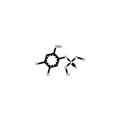 CCOP(=S)(OCC)Oc1cc(Cl)c(Cl)cc1SC